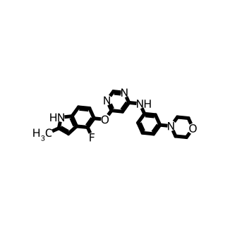 Cc1cc2c(F)c(Oc3cc(Nc4cccc(N5CCOCC5)c4)ncn3)ccc2[nH]1